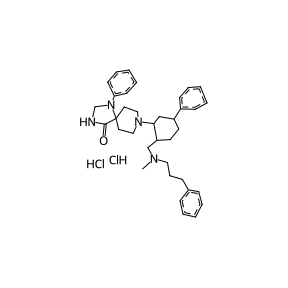 CN(CCCc1ccccc1)CC1CCC(c2ccccc2)CC1N1CCC2(CC1)C(=O)NCN2c1ccccc1.Cl.Cl